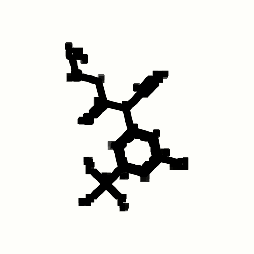 COCC(=O)C(C#N)c1cc(Cl)cc(C(F)(F)F)c1